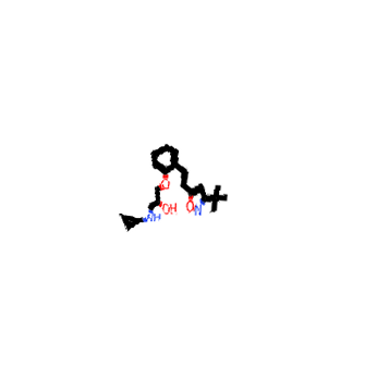 CC(C)(C)c1cc(C=Cc2ccccc2OCC(O)CNC2CC2)on1